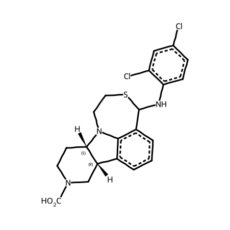 O=C(O)N1CC[C@H]2[C@@H](C1)c1cccc3c1N2CCSC3Nc1ccc(Cl)cc1Cl